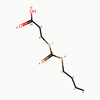 CCCCSC(=S)SCCC(=O)O